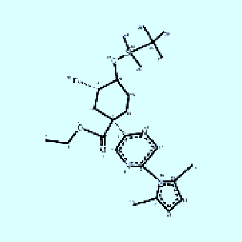 CCOC(=O)[C@]1(c2cnc(-n3c(C)ccc3C)cn2)CCC(O[Si](C)(C)C(C)(C)C)[C@@H](F)C1